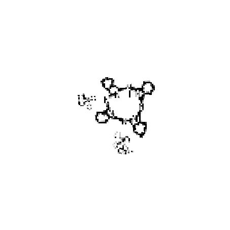 O=S(=O)([O-])Cl.O=S(=O)([O-])Cl.[Cu+2].c1ccc2c(c1)-c1nc-2nc2[nH]c(nc3nc(nc4[nH]c(n1)c1ccccc41)-c1ccccc1-3)c1ccccc21